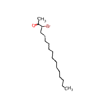 CCCCCCCCCCCCCCC(Br)C(C)=O